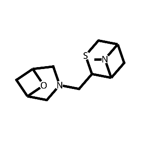 CN1C2CSC(CN3CC4CC(C3)O4)C1C2